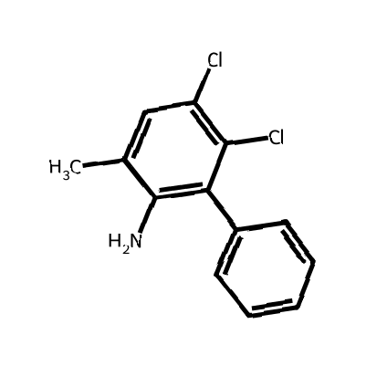 Cc1cc(Cl)c(Cl)c(-c2ccccc2)c1N